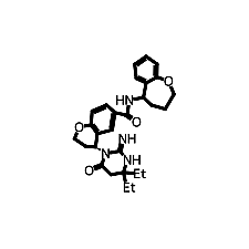 CCC1(CC)CC(=O)N([C@@H]2CCOc3ccc(C(=O)NC4CCCOc5ccccc54)cc32)C(=N)N1